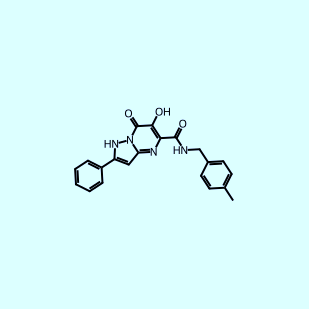 Cc1ccc(CNC(=O)c2nc3cc(-c4ccccc4)[nH]n3c(=O)c2O)cc1